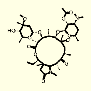 CC[C@H]1OC(=O)[C@H](C)[C@@H](O[C@H]2C[C@@](C)(OC)[C@@H](O)[C@H](C)O2)[C@H](C)[C@@H](O[C@@H]2O[C@H](C)C[C@H](N(C)C)[C@H]2OC(C)=O)[C@](C)(OC)C[C@@H](C)C(=O)[C@H](C)C2N(C)C(=O)C[C@@]21C